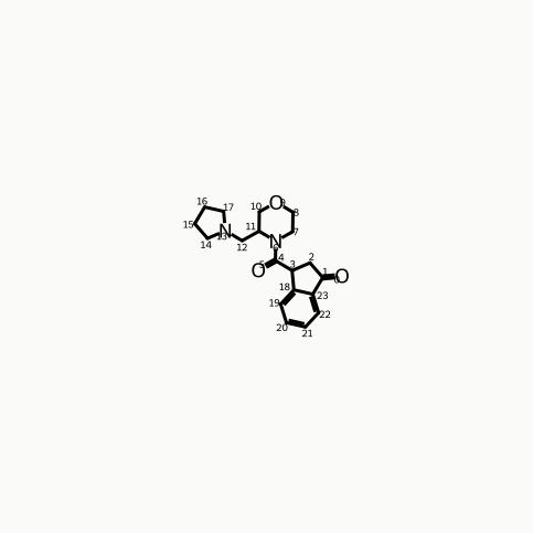 O=C1CC(C(=O)N2CCOCC2CN2CCCC2)c2ccccc21